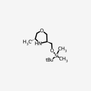 C[C@@H]1COC[C@@H](CO[Si](C)(C)C(C)(C)C)N1